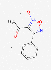 CC(=O)c1c(-c2ccccc2)no[n+]1[O-]